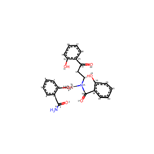 NC(=O)c1ccccc1O.O=C(CCN(C(=O)O)C(=O)c1ccccc1O)c1ccccc1O